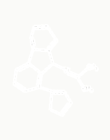 C[C](C)=[Zr][CH]1c2ccccc2-c2cccc(C3=CC=CC3)c21